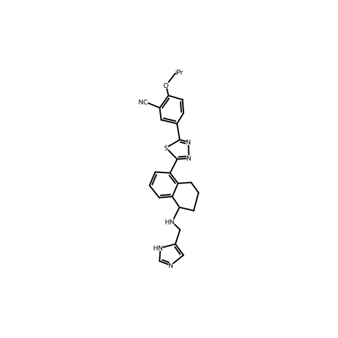 CC(C)Oc1ccc(-c2nnc(-c3cccc4c3CCCC4NCc3cnc[nH]3)s2)cc1C#N